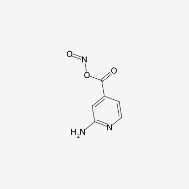 Nc1cc(C(=O)ON=O)ccn1